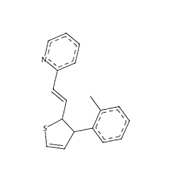 Cc1ccccc1C1C=CSC1C=Cc1ccccn1